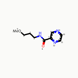 COCCCNC(=O)c1cnccn1